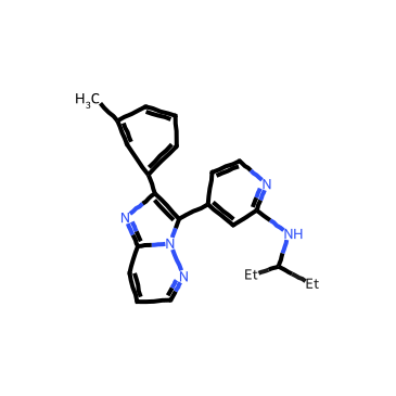 CCC(CC)Nc1cc(-c2c(-c3cccc(C)c3)nc3cccnn23)ccn1